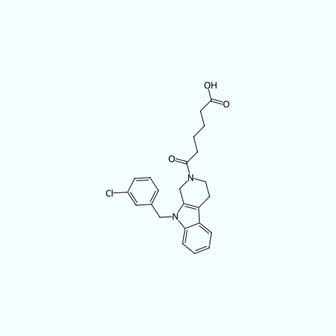 O=C(O)CCCCC(=O)N1CCc2c(n(Cc3cccc(Cl)c3)c3ccccc23)C1